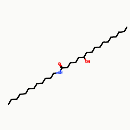 CCCCCCCCCCCCNC(=O)CCCCC(O)CCCCCCCCCCC